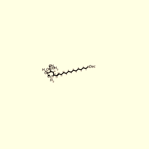 CCCCCCCCCCCCCCCCCCCCCC=CC(C)CC(P(=O)=O)[N+](C)(C)C